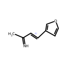 CC(=N)/C=C/c1ccoc1